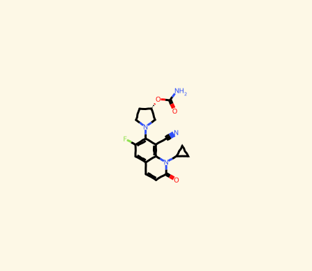 N#Cc1c(N2CC[C@H](OC(N)=O)C2)c(F)cc2ccc(=O)n(C3CC3)c12